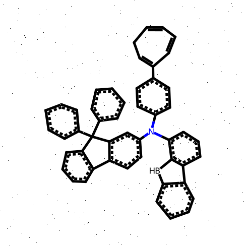 B1c2ccccc2-c2cccc(N(c3ccc(C4=CCC=CC=C4)cc3)c3ccc4c(c3)C(c3ccccc3)(c3ccccc3)c3ccccc3-4)c21